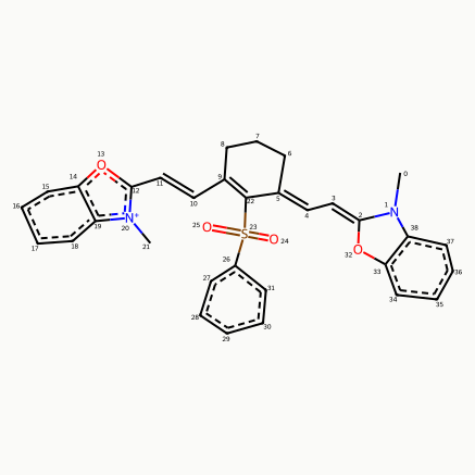 CN1/C(=C/C=C2\CCCC(/C=C/c3oc4ccccc4[n+]3C)=C2S(=O)(=O)c2ccccc2)Oc2ccccc21